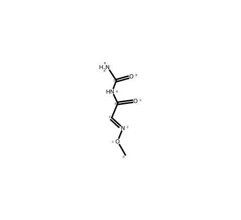 CON=CC(=O)NC(N)=O